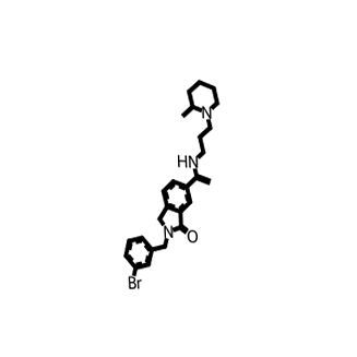 C=C(NCCCN1CCCCC1C)c1ccc2c(c1)C(=O)N(Cc1cccc(Br)c1)C2